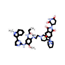 C=CC(=O)Nc1cc(Nc2nccc(-c3cn(C)c4ccccc34)n2)c(OC)cc1N(C)CCN1CCC(CN2C3CCC2CN(c2cc4c(cc2F)C(=O)N(C2CCC(=O)NC2=O)C4=O)C3)CC1